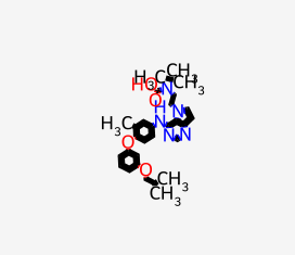 Cc1cc(Nc2ncnc3ccn(CCN(C(=O)O)C(C)(C)C)c23)ccc1Oc1cccc(OCC(C)C)c1